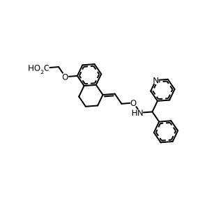 O=C(O)COc1cccc2c1CCCC2=CCONC(c1ccccc1)c1cccnc1